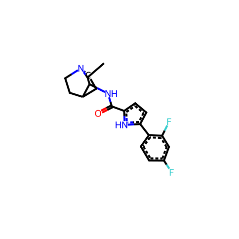 CC1C(NC(=O)c2ccc(-c3ccc(F)cc3F)[nH]2)C2CCN1CC2